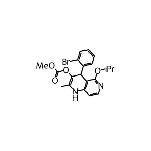 COC(=O)OC1=C(C)Nc2ccnc(OC(C)C)c2C1c1ccccc1Br